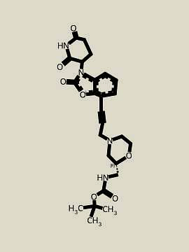 CC(C)(C)OC(=O)NC[C@@H]1CN(CC#Cc2cccc3c2oc(=O)n3C2CCC(=O)NC2=O)CCO1